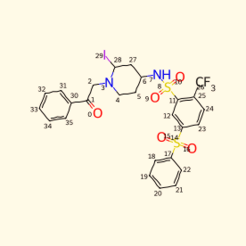 O=C(CN1CCC(NS(=O)(=O)c2cc(S(=O)(=O)c3ccccc3)ccc2C(F)(F)F)CC1I)c1ccccc1